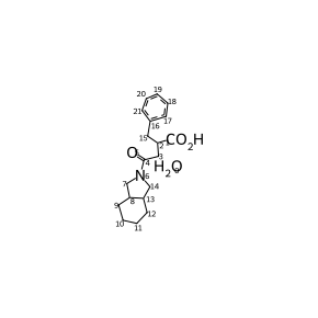 O.O=C(O)C(CC(=O)N1CC2CCCCC2C1)Cc1ccccc1